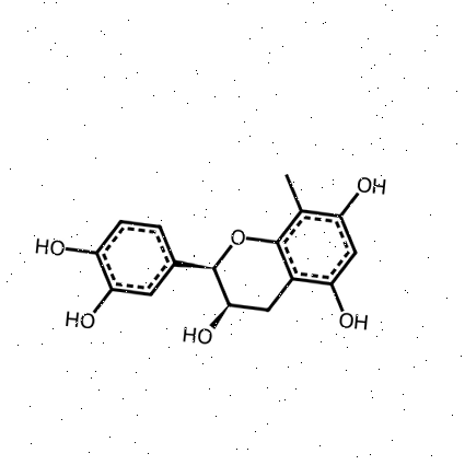 Cc1c(O)cc(O)c2c1O[C@H](c1ccc(O)c(O)c1)[C@H](O)C2